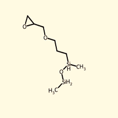 C[SiH2]O[SiH](C)CCCOCC1CO1